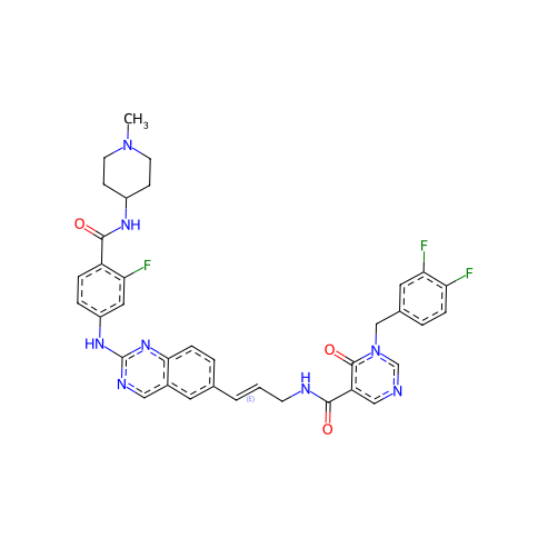 CN1CCC(NC(=O)c2ccc(Nc3ncc4cc(/C=C/CNC(=O)c5cncn(Cc6ccc(F)c(F)c6)c5=O)ccc4n3)cc2F)CC1